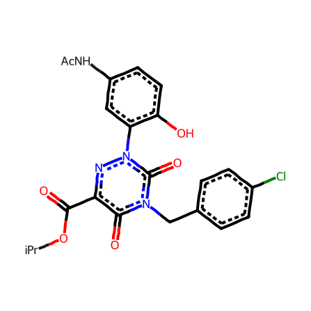 CC(=O)Nc1ccc(O)c(-n2nc(C(=O)OC(C)C)c(=O)n(Cc3ccc(Cl)cc3)c2=O)c1